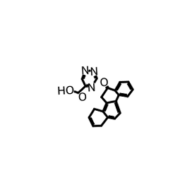 O=C(O)c1cnncn1.O=C1Cc2c(ccc3c2CC=CC3)-c2ccccc21